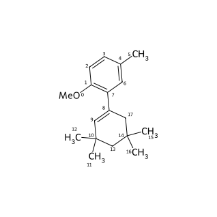 COc1ccc(C)cc1C1=CC(C)(C)CC(C)(C)C1